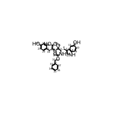 O=C(N[C@@H](Cc1c[nH]c2ccc(O)cc12)C(=O)N[C@@H](Cc1ccc(O)cc1)C(=O)O)OCc1ccccc1